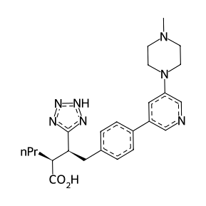 CCC[C@H](C(=O)O)[C@H](Cc1ccc(-c2cncc(N3CCN(C)CC3)c2)cc1)c1nn[nH]n1